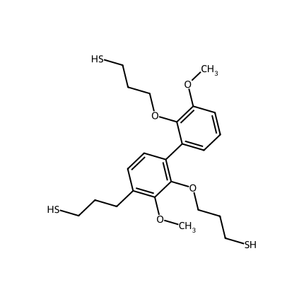 COc1cccc(-c2ccc(CCCS)c(OC)c2OCCCS)c1OCCCS